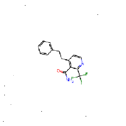 NC(=O)c1c(CCc2ccccc2)ccnc1C(F)(F)F